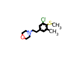 CSc1c(C)cc(CCN2CCOCC2)cc1Cl